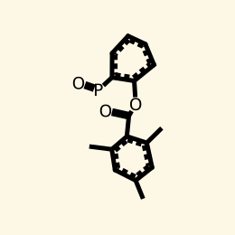 Cc1cc(C)c(C(=O)Oc2ccccc2P=O)c(C)c1